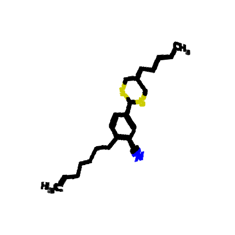 CCCCCCCc1ccc(C2SCC(CCCCC)CS2)cc1C#N